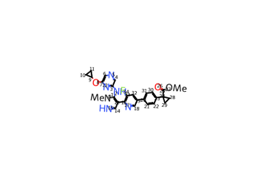 CN/C(Nc1cncc(OC2CC2)n1)=C(\C=N)c1ncc(-c2ccc(C3(C(=O)OC)CC3)cc2)cc1F